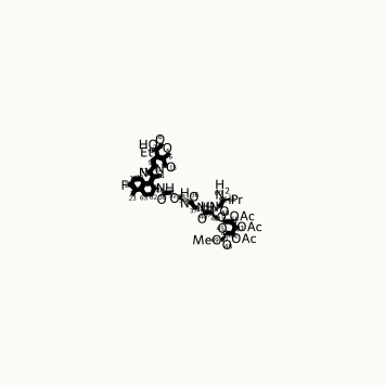 CC[C@@]1(O)C(=O)OCc2c1cc1n(c2=O)Cc2c-1nc1cc(F)c(C)c3c1c2[C@@H](NC(=O)COCNC(=O)CNC(=O)[C@H](CO[C@@H]1O[C@H](C(=O)OC)[C@@H](OC(C)=O)[C@H](OC(C)=O)[C@H]1OC(C)=O)NC(=O)[C@@H](N)C(C)C)CC3